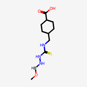 COBNNC(=S)NCC1CCC(C(=O)O)CC1